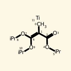 CC(C(=O)OC(C)C)=C(OC(C)C)OC(C)C.[Ti]